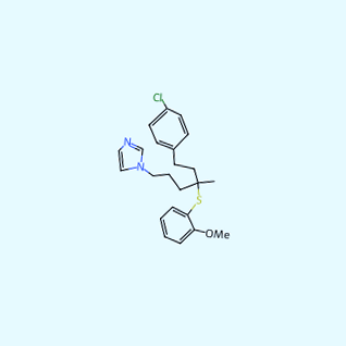 COc1ccccc1SC(C)(CCCn1ccnc1)CCc1ccc(Cl)cc1